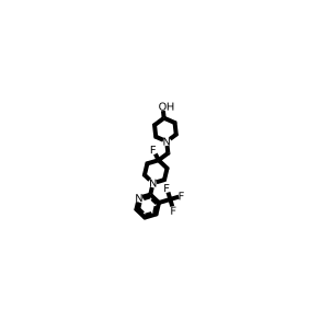 OC1CCN(CC2(F)CCN(c3ncccc3C(F)(F)F)CC2)CC1